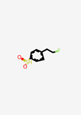 O=[SH](=O)c1ccc(CCF)cc1